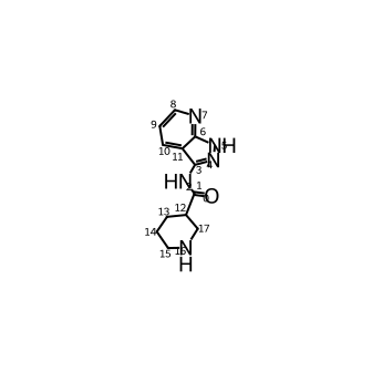 O=C(Nc1n[nH]c2ncccc12)C1CCCNC1